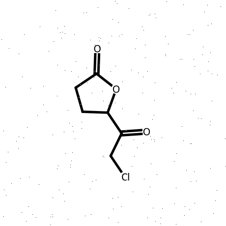 O=C1CCC(C(=O)CCl)O1